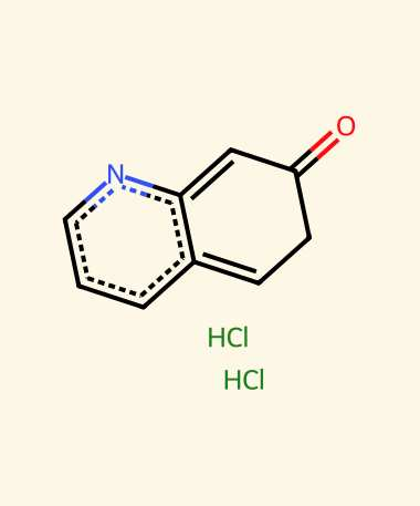 Cl.Cl.O=C1C=c2ncccc2=CC1